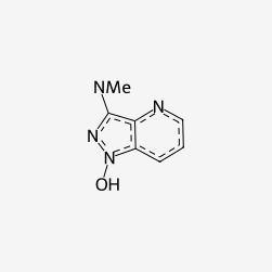 CNc1nn(O)c2cccnc12